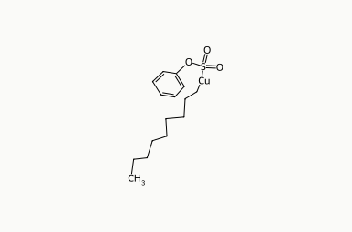 CCCCCCCC[CH2][Cu][S](=O)(=O)Oc1ccccc1